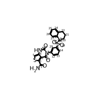 NC(=O)c1scc2[nH]c(=O)n(-c3cccc(S(=O)(=O)N4CCCc5ccccc54)c3)c(=O)c12